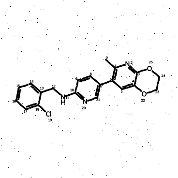 Cc1nc2c(cc1-c1ccc(NCc3ccccc3Cl)nc1)OCCO2